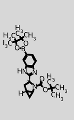 CC(C)(C)OC(=O)N1C2C[C@@H]2C[C@H]1c1nc2ccc(B3OC(C)(C)C(C)(C)O3)cc2[nH]1